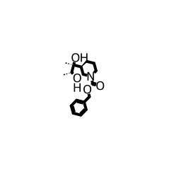 C[C@@H](O)[C@@](C)(O)[C@H]1CCCN(C(=O)OCc2ccccc2)C1